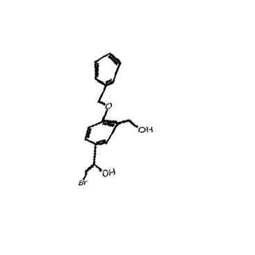 OCc1cc([C@@H](O)CBr)ccc1OCc1ccccc1